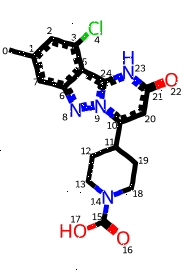 Cc1cc(Cl)c2c(c1)nn1c(C3CCN(C(=O)O)CC3)cc(=O)[nH]c21